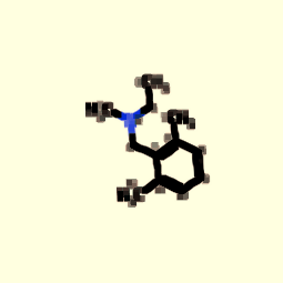 CCN(C)Cc1c(C)cccc1C